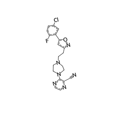 N#Cc1nccnc1N1CCN(CCc2cc(-c3cc(Cl)ccc3F)on2)CC1